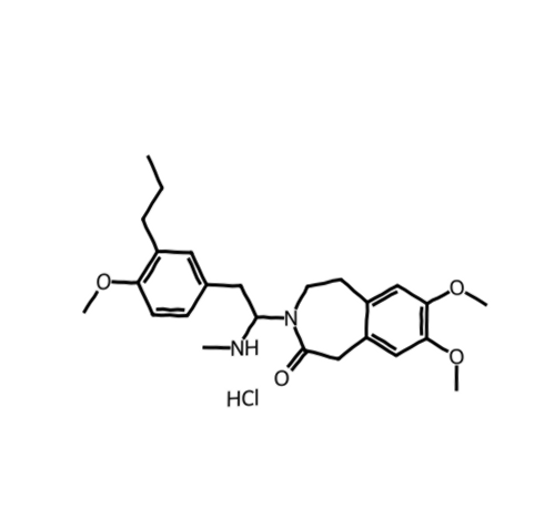 CCCc1cc(CC(NC)N2CCc3cc(OC)c(OC)cc3CC2=O)ccc1OC.Cl